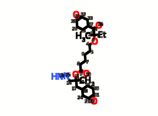 CCC(C)(OCCCCCC(=O)OC(C)(CN=N)CC1CCC2OC2C1)C(=O)C1CCC2OC2C1